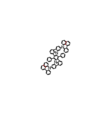 c1ccc(-c2ccccc2N(c2ccccc2)c2ccc3c4cccc5c6c(-c7ccccc7)c7c(c(-c8ccccc8)c6n(c3c2)c45)c2cccc3c4ccc(N(c5ccccc5)c5ccccc5-c5ccccc5)cc4n7c32)cc1